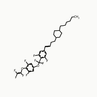 CCCCCCC1CCC(CC/C=C/c2cc(F)c(C(F)(F)Oc3cc(F)c(OC(F)=C(F)F)c(F)c3)c(F)c2)CC1